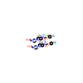 Cc1cc(N2CCCN(CCO)CC2)nc2ccc(NC(=O)COc3ccc(OC(F)(F)F)cc3)cc12.Cc1cc(N2CCCN(CCO)CC2)nc2ccc(NC(=O)COc3ccc(OC(F)(F)F)cc3Cl)cc12